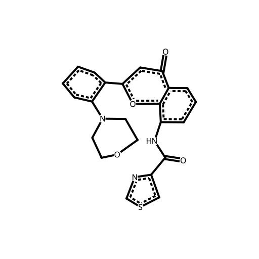 O=C(Nc1cccc2c(=O)cc(-c3ccccc3N3CCOCC3)oc12)c1cscn1